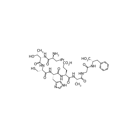 CC(C)C[C@H](N)C(=O)N[C@H](C(=O)N[C@@H](CS)C(=O)N[C@@H](Cc1c[nH]cn1)C(=O)N[C@@H](CCC(=O)O)C(=O)N[C@@H](C)C(=O)NCC(=O)N[C@@H](Cc1ccccc1)C(=O)O)[C@@H](C)O